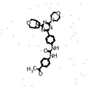 CC(=O)c1ccc(NC(=O)Nc2ccc(-c3nc(N4CCOCC4)nc(N4C5CCC4COC5)n3)cc2)cc1